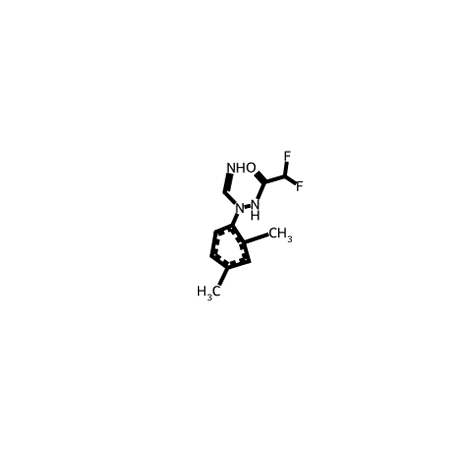 Cc1ccc(N(C=N)NC(=O)C(F)F)c(C)c1